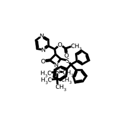 CC(=O)OC(c1cnccn1)C1C(=O)N([Si](C)(C)C(C)(C)C)C1SC(c1ccccc1)(c1ccccc1)c1ccccc1